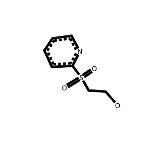 [O]CCS(=O)(=O)c1ccccn1